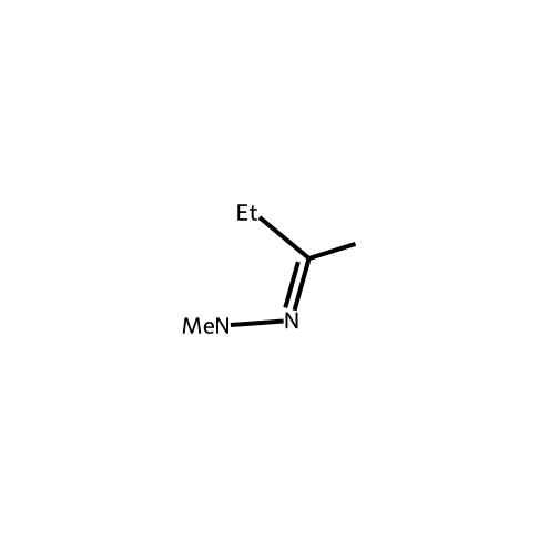 CC/C(C)=N\NC